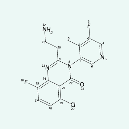 Cc1c(F)cncc1-n1c(CCN)nc2c(F)ccc(Cl)c2c1=O